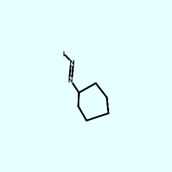 I/N=N/C1CCCCC1